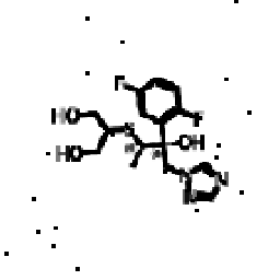 C[C@@H](SC(CO)CO)[C@](O)(Cn1cncn1)c1cc(F)ccc1F